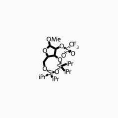 COC1OC2CO[Si](C(C)C)(C(C)C)O[Si](C(C)C)(C(C)C)OC2C1OS(=O)(=O)C(F)(F)F